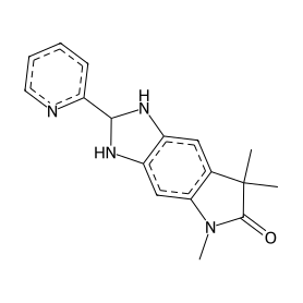 CN1C(=O)C(C)(C)c2cc3c(cc21)NC(c1ccccn1)N3